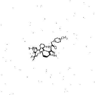 CN1CCN(CC(=O)Nc2n[nH]c3ccc4nc(-c5c[nH]nc5C(F)(F)F)c5c(c4c23)CCCC5)CC1